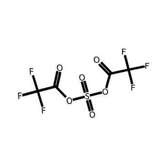 O=C(OS(=O)(=O)OC(=O)C(F)(F)F)C(F)(F)F